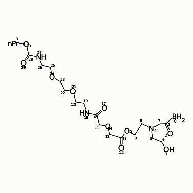 BC(=O)CN(CCO)CCOC(=O)COCC(=O)NCCOCCOCCNC(=O)OCCC